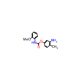 COc1ccccc1NC(=O)Oc1ccc(C)c(N)c1